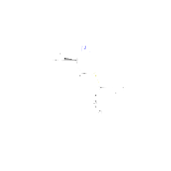 C=CC(SC[C@H](N)C(=O)O)C(=O)OCC